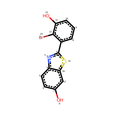 Oc1ccc2nc(-c3cccc(O)c3Br)sc2c1